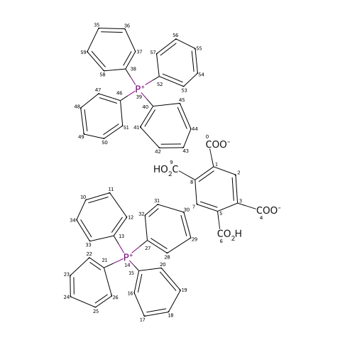 O=C([O-])c1cc(C(=O)[O-])c(C(=O)O)cc1C(=O)O.c1ccc([P+](c2ccccc2)(c2ccccc2)c2ccccc2)cc1.c1ccc([P+](c2ccccc2)(c2ccccc2)c2ccccc2)cc1